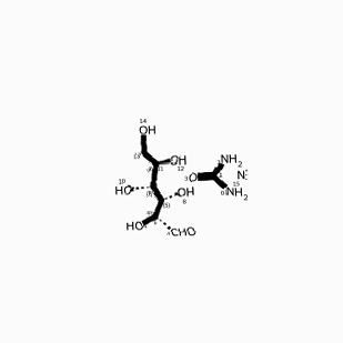 NC(N)=O.O=C[C@H](O)[C@@H](O)[C@H](O)[C@H](O)CO.[N]